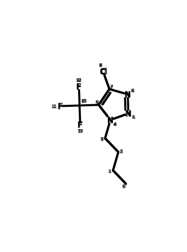 CCCCn1nnc(Cl)c1C(F)(F)F